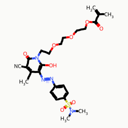 C=C(C)C(=O)OCCOCCOCCn1c(O)c(/N=N/c2ccc(S(=O)(=O)N(C)C)cc2)c(C)c(C#N)c1=O